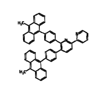 Cc1c2ccccc2c(-c2ccc(-c3ccc(-c4ccccn4)nc3-c3ccc(-c4c5ccccc5c(C)c5ccccc45)cc3)cc2)c2ccccc12